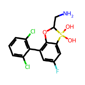 NCC1Oc2c(-c3c(Cl)cccc3Cl)cc(F)cc2S1(O)O